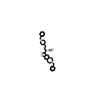 Cl.Cl.c1ccc(CN2CCc3cc4onc(CCCC5CCN(Cc6ccccc6)CC5)c4cc3CC2)cc1